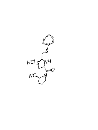 Cl.N#C[C@@H]1CCCN1C(=O)[C@@H]1CSC(CSc2ccccc2)N1